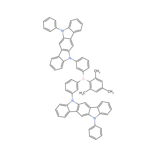 Cc1cc(C)c(B(c2cccc(-n3c4ccccc4c4cc5c(cc43)c3ccccc3n5-c3ccccc3)c2)c2cccc(-n3c4ccccc4c4cc5c(cc43)c3ccccc3n5-c3ccccc3)c2)c(C)c1